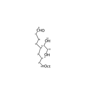 CCCCCCCCCCCCCCCC=O.OCCO